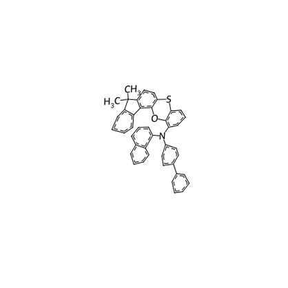 CC1(C)c2ccccc2-c2c1ccc1c2Oc2c(cccc2N(c2ccc(-c3ccccc3)cc2)c2cccc3ccccc23)S1